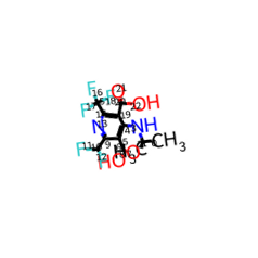 CC(C)Nc1c(C(=O)O)c(C(F)F)nc(C(F)(F)F)c1C(=O)O